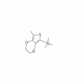 Cc1sc([Si](C)(C)C)c2c1OCCO2